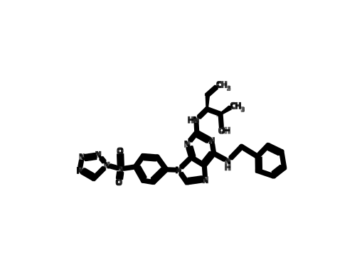 CC[C@H](Nc1nc(NCc2ccccc2)c2ncn(-c3ccc(S(=O)(=O)n4cnnn4)cc3)c2n1)[C@@H](C)O